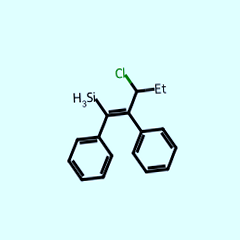 CCC(Cl)C(=C([SiH3])c1ccccc1)c1ccccc1